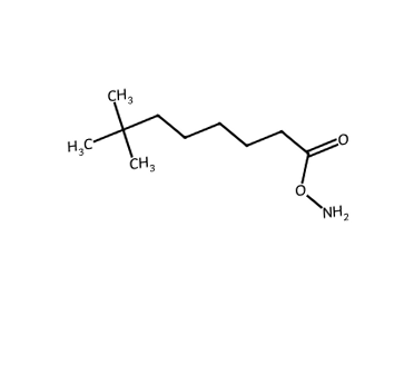 CC(C)(C)CCCCCC(=O)ON